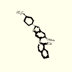 COc1cc2nc([C@H]3CC[C@H](C(=O)O)CC3)sc2cc1-n1ccc2ccccc2c1=O